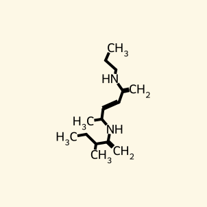 C=C(/C=C/C(C)NC(=C)C(C)CC)NCCC